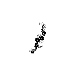 Cc1c(-c2ccc(CNC[C@H]3CCC(=O)N3)c(O)n2)cccc1-c1cccc(Nc2nccc3sc(CNCC(=O)O)nc23)c1Cl